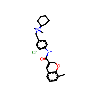 Cc1cccc2c1OCC(C(=O)Nc1ccc(C[N+](C)(C)C3CCCCC3)cc1)=C2.[Cl-]